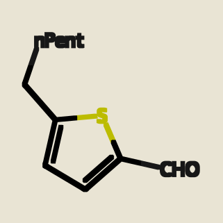 CCCCCCc1ccc(C=O)s1